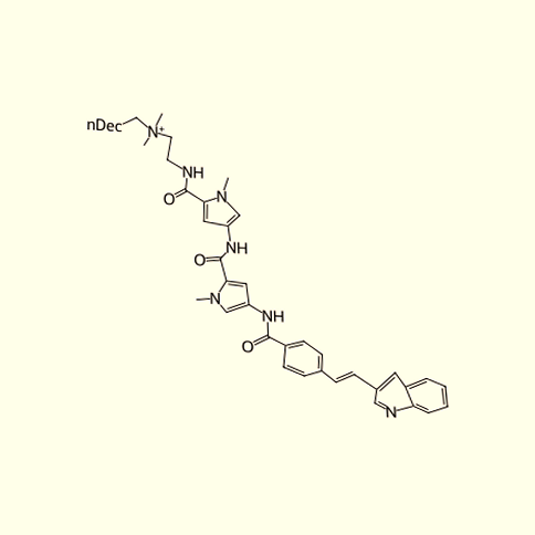 CCCCCCCCCCC[N+](C)(C)CCNC(=O)c1cc(NC(=O)c2cc(NC(=O)c3ccc(/C=C/c4cnc5ccccc5c4)cc3)cn2C)cn1C